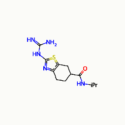 CC(C)NC(=O)C1CCc2nc(NC(=N)N)sc2C1